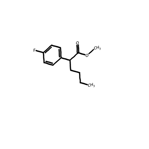 CCCCC(C(=O)OC)c1ccc(F)cc1